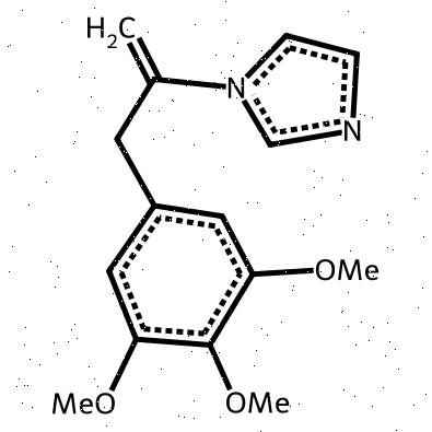 C=C(Cc1cc(OC)c(OC)c(OC)c1)n1ccnc1